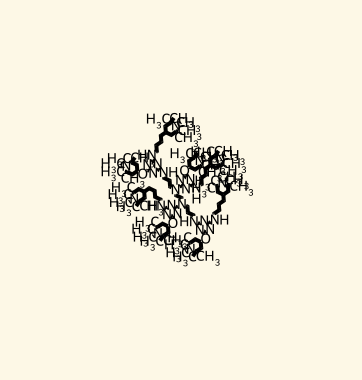 CN1C(C)(C)CC(CCCCNc2nc(NCCCN(CCN(CCCNc3nc(NCCCCC4CC(C)(C)N(C)C(C)(C)C4)nc(OC4CC(C)(C)N(C)C(C)(C)C4)n3)c3nc(NCCCCC4CC(C)(C)N(C)C(C)(C)C4)nc(OC4CC(C)(C)N(C)C(C)(C)C4)n3)c3nc(NCCCCC4CC(C)(C)N(C)C(C)(C)C4)nc(OC4CC(C)(C)N(C)C(C)(C)C4)n3)nc(OC3CC(C)(C)N(C)C(C)(C)C3)n2)CC1(C)C